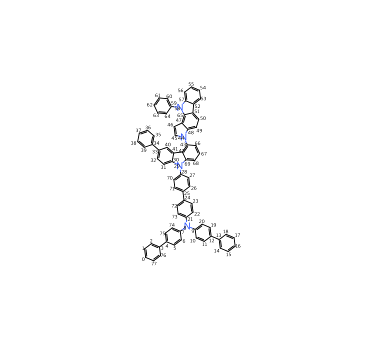 c1ccc(-c2ccc(N(c3ccc(-c4ccccc4)cc3)c3ccc(-c4ccc(-n5c6ccc(-c7ccccc7)cc6c6c(-n7ccc8c7ccc7c9ccccc9n(-c9ccccc9)c78)cccc65)cc4)cc3)cc2)cc1